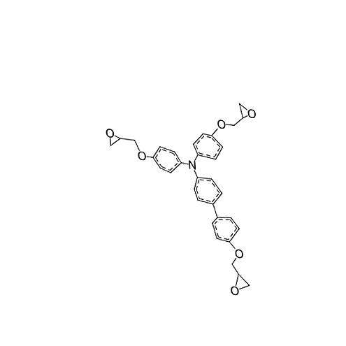 c1cc(-c2ccc(N(c3ccc(OCC4CO4)cc3)c3ccc(OCC4CO4)cc3)cc2)ccc1OCC1CO1